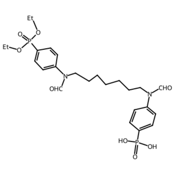 CCOP(=O)(OCC)c1ccc(N(C=O)CCCCCCCN(C=O)c2ccc(P(=O)(O)O)cc2)cc1